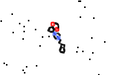 C1=COc2cccc(N3CCN(CC[C@H]4Cc5ccccc54)CC3)c2OC1